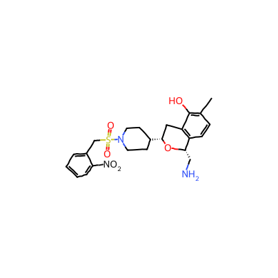 Cc1ccc2c(c1O)C[C@@H](C1CCN(S(=O)(=O)Cc3ccccc3[N+](=O)[O-])CC1)O[C@H]2CN